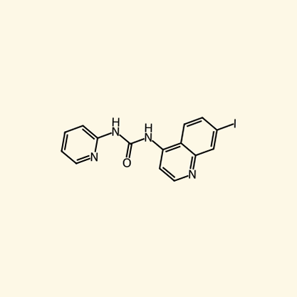 O=C(Nc1ccccn1)Nc1ccnc2cc(I)ccc12